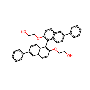 OCCOC1=C(c2c(OCCO)ccc3cc(-c4ccccc4)ccc23)C2C=CC(c3ccccc3)=CC2C=C1